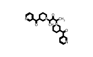 CC(C(=O)C(C)N1CCCC(C(=O)c2cccnc2)C1)N1CCCC(C(=O)c2cccnc2)C1